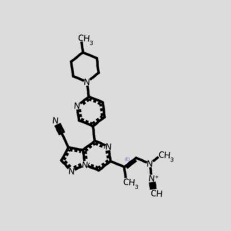 C#[N+]N(C)/C=C(\C)c1cn2ncc(C#N)c2c(-c2ccc(N3CCC(C)CC3)nc2)n1